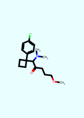 COCCCC(=O)C(N(C)C)C1(c2ccc(Cl)cc2)CCC1